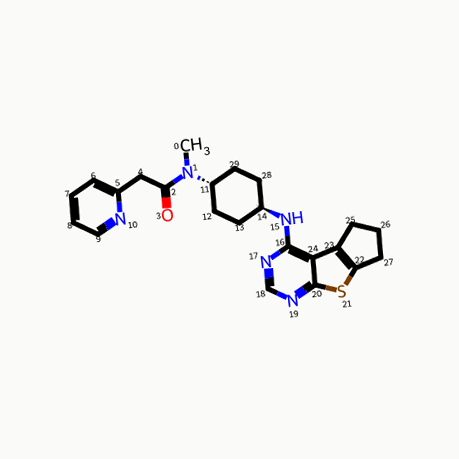 CN(C(=O)Cc1ccccn1)[C@H]1CC[C@H](Nc2ncnc3sc4c(c23)CCC4)CC1